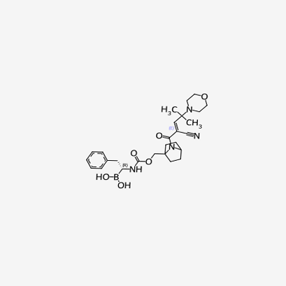 CC(C)(/C=C(\C#N)C(=O)N1C2CCC1(COC(=O)N[C@@H](Cc1ccccc1)B(O)O)CC2)N1CCOCC1